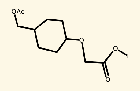 CC(=O)OCC1CCC(OCC(=O)OI)CC1